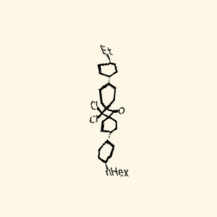 CCCCCC[C@H]1CC[C@H](C2CCC3(CC2)C(=O)C2(CCC([C@H]4CC[C@H](CC)CC4)CC2)C3(Cl)Cl)CC1